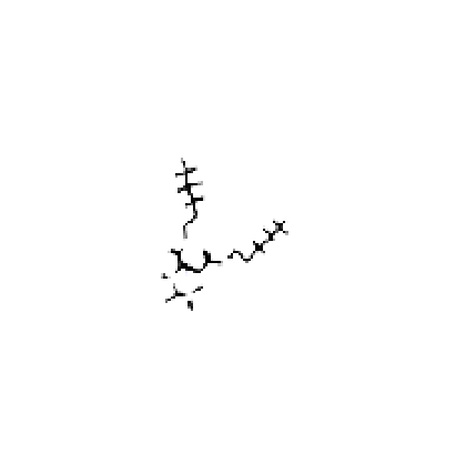 CC(N(C)C)[S+]([O-])/C(=C/C(=O)OCCC(F)(F)C(F)(F)C(F)(F)C(F)(F)F)C(=O)OCCC(F)(F)C(F)(F)C(F)(F)C(F)(F)F